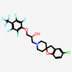 O[C@H](COc1c(F)c(F)c(C(F)(F)F)c(F)c1F)CN1CCC2(CC1)Cc1cc(Cl)ccc1O2